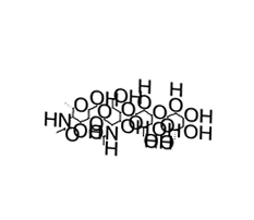 CC(=O)NC1[C@H](O[C@@H]2C(CO)O[C@@H](C)C(NC(C)=O)[C@H]2O)OC(CO)[C@@H](O[C@@H]2OC(CO)[C@@H](O)[C@H](O[C@H]3O[C@@H](CO)C(O)C(O)C3O)C2O)[C@@H]1O